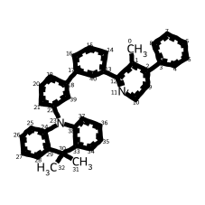 Cc1c(-c2ccccc2)ccnc1-c1cccc(-c2cccc(N3c4ccccc4C(C)(C)c4ccccc43)c2)c1